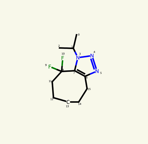 CC(C)n1nnc2c1C(F)(F)CCCCC2